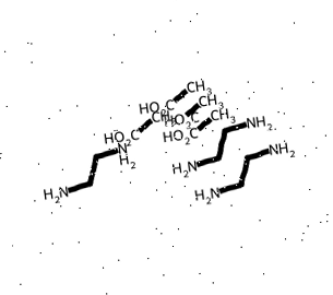 CC(=O)O.CC(=O)O.CC(=O)O.CC(=O)O.NCCN.NCCN.NCCN